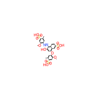 COc1cc(S(=O)(=O)O)c(C)cc1N=Nc1c(O)cc(Oc2cc(C)c(S(=O)(=O)O)cc2OC)c2cc(S(=O)(=O)O)ccc12